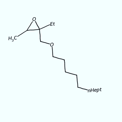 CCCCCCCCCCCCOCC1(CC)OC1C